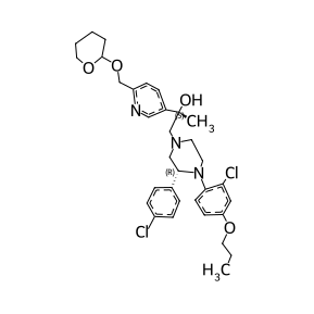 CCCOc1ccc(N2CCN(C[C@@](C)(O)c3ccc(COC4CCCCO4)nc3)C[C@H]2c2ccc(Cl)cc2)c(Cl)c1